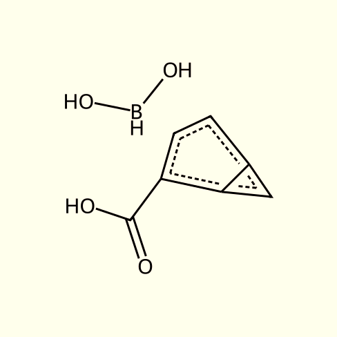 O=C(O)c1ccc2cc1-2.OBO